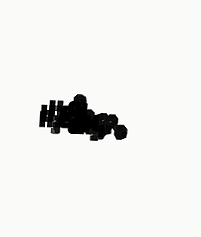 CC1(C)CC(C)(C)C2(C)c3cc(-c4ccc5ccc6c(-c7ccccc7)ccc7ccc4c5c76)ccc3N(c3ccccc3)C2(C)C1